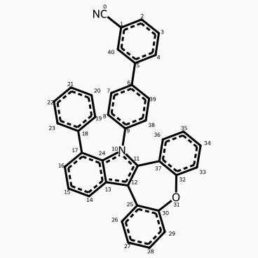 N#Cc1cccc(-c2ccc(-n3c4c(c5cccc(-c6ccccc6)c53)-c3ccccc3Oc3ccccc3-4)cc2)c1